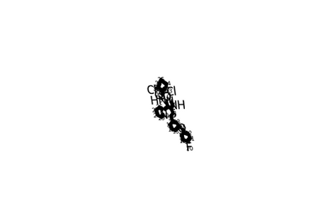 O=S(=O)(Nc1n[nH]c(SCc2cccc(Oc3ccc(F)cc3)c2)c1-c1ccccn1)c1c(Cl)cccc1Cl